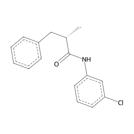 [CH2][C@@H](Cc1ccccc1)C(=O)Nc1cccc(Cl)c1